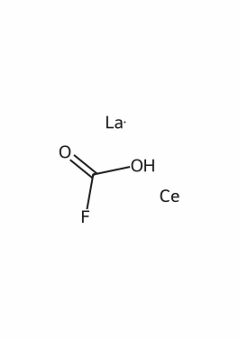 O=C(O)F.[Ce].[La]